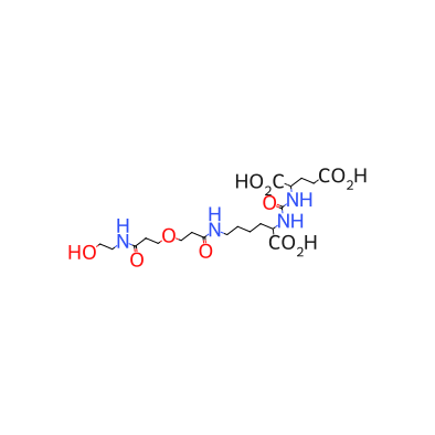 O=C(O)CCC(NC(=O)NC(CCCCNC(=O)CCOCCC(=O)NCCO)C(=O)O)C(=O)O